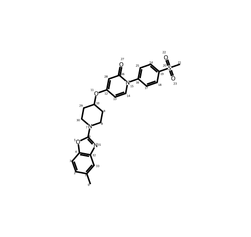 Cc1ccc2oc(N3CCC(Oc4ccn(-c5ccc(S(C)(=O)=O)cc5)c(=O)c4)CC3)nc2c1